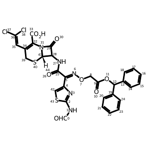 O=CNc1nc(C(=NOCC(=O)OC(c2ccccc2)c2ccccc2)C(=O)NC2C(=O)N3C(C(=O)O)=C(C=C(Cl)Cl)CS[C@@H]23)cs1